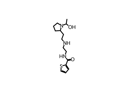 CC(O)N1CCCC1CCNCCNC(=O)c1cccs1